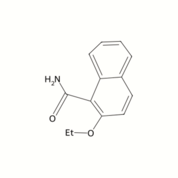 CCOc1ccc2ccccc2c1C(N)=O